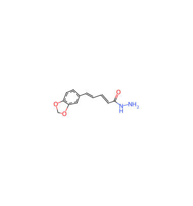 NNC(=O)C=CC=Cc1ccc2c(c1)OCO2